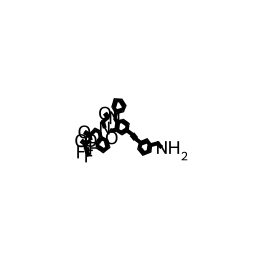 NCc1cccc(C#Cc2ccc3c(c2)C(=O)N(C(CC(=O)OC(=O)C(F)(F)F)c2ccccc2)CC(=O)N3c2ccccc2)c1